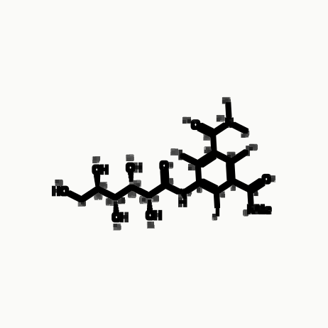 CNC(=O)c1c(I)c(NC(=O)[C@H](O)[C@@H](O)[C@H](O)[C@H](O)CO)c(I)c(C(=O)N(C)C)c1I